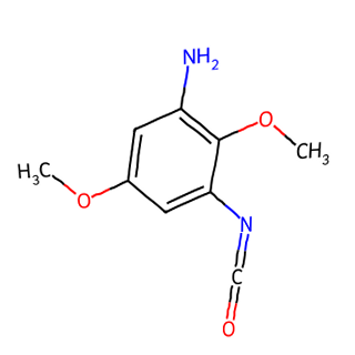 COc1cc(N)c(OC)c(N=C=O)c1